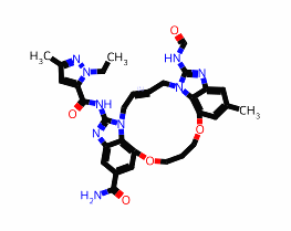 CCn1nc(C)cc1C(=O)Nc1nc2cc(C(N)=O)cc3c2n1C/C=C/Cn1c(NC=O)nc2cc(C)cc(c21)OCCCO3